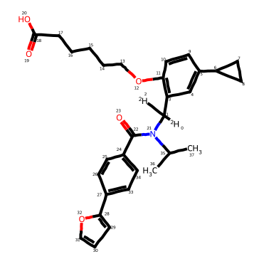 [2H]C([2H])(c1cc(C2CC2)ccc1OCCCCCC(=O)O)N(C(=O)c1ccc(-c2ccco2)cc1)C(C)C